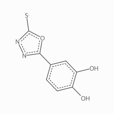 Oc1ccc(-c2nnc([S])o2)cc1O